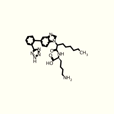 CCCCCCC(C(=O)N[C@@H](CCCCN)C(=O)O)n1cnc2cc(-c3ccccc3-c3nn[nH]n3)ccc21